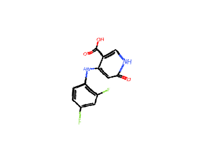 O=C(O)c1c[nH]c(=O)cc1Nc1ccc(F)cc1F